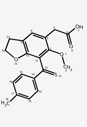 COc1c(CC(=O)O)cc2c(c1C(=S)c1ccc(C)cc1)OCC2